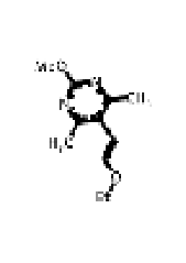 CCOC=Cc1c(C)nc(OC)nc1C